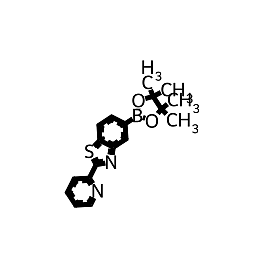 CC1(C)OB(c2ccc3sc(-c4ccccn4)nc3c2)OC1(C)C